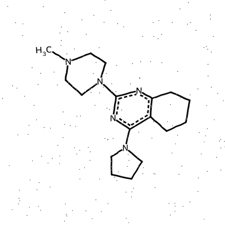 CN1CCN(c2nc3c(c(N4CCCC4)n2)CCCC3)CC1